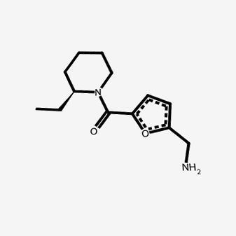 CC[C@H]1CCCCN1C(=O)c1ccc(CN)o1